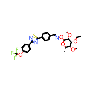 CCO[C@@H]1[C@@H](OC)[C@H](C)O[C@@H](O/N=C/c2ccc(-c3nc(-c4ccc(OC(F)(F)F)cc4)ns3)cc2)[C@@H]1OC